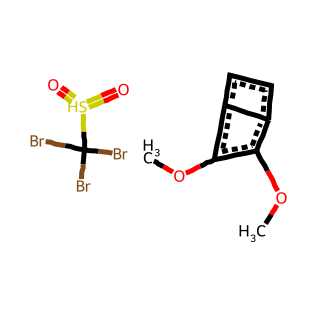 COc1c2ccc-2c1OC.O=[SH](=O)C(Br)(Br)Br